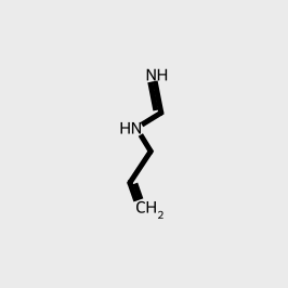 C=CCNC=N